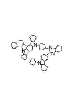 c1ccc(-n2c3ccccc3c3cc(-c4nc5ccccc5nc4-c4ccc(-n5c6ccccc6c6c7c8ccc9ccccc9c8n8c9ccccc9c(cc65)c78)cc4)ccc32)cc1